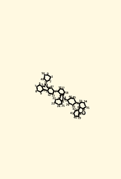 c1ccc(-n2c3ccccc3c3ccc(-c4cccc5c4c4ccccc4n5-c4ccc(-c5cccc6oc7ccccc7c56)cc4)cc32)cc1